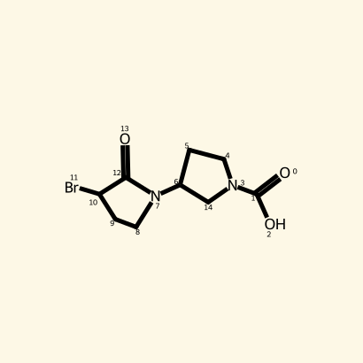 O=C(O)N1CCC(N2CCC(Br)C2=O)C1